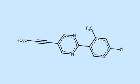 O=C(O)C#Cc1cnc(-c2ccc(Cl)cc2C(F)(F)F)nc1